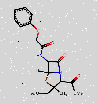 COC(=O)C1N2C(=O)C(NC(=O)COc3ccccc3)[C@H]2S[C@@]1(C)COC(C)=O